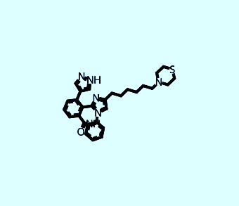 NC(=O)c1cccc(-c2cn[nH]c2)c1-c1nc(CCCCCCN2CCSCC2)cn1-c1ccccc1